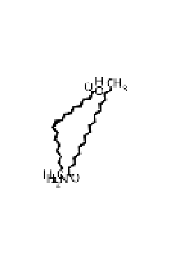 CCCCCCCC/C=C\CCCCCCCC(=O)O.CCCCCCCCCCCCCCCCCC(N)=O